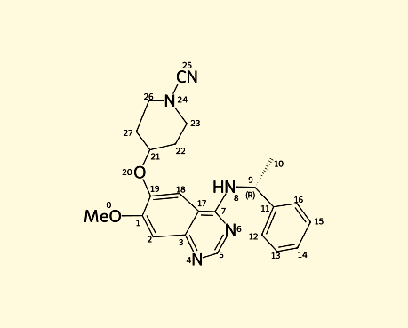 COc1cc2ncnc(N[C@H](C)c3ccccc3)c2cc1OC1CCN(C#N)CC1